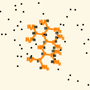 PP(P)P(PP(P(P)P)P(P(P)P)P(P)P)P(P)P